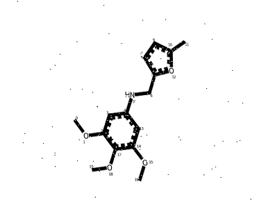 COc1cc(NCc2ccc(C)o2)cc(OC)c1OC